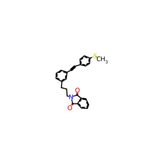 CSc1ccc(C#Cc2cccc(CCCN3C(=O)c4ccccc4C3=O)c2)cc1